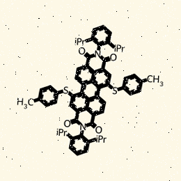 Cc1ccc(Sc2cc3c4c(ccc5c6c(Sc7ccc(C)cc7)cc7c8c(ccc(c2c45)c86)C(=O)N(c2c(C(C)C)cccc2C(C)C)C7=O)C(=O)N(c2c(C(C)C)cccc2C(C)C)C3=O)cc1